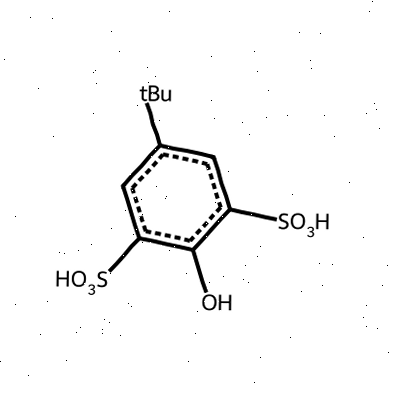 CC(C)(C)c1cc(S(=O)(=O)O)c(O)c(S(=O)(=O)O)c1